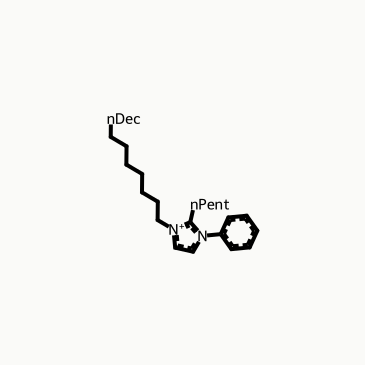 CCCCCCCCCCCCCCCCC[n+]1ccn(-c2ccccc2)c1CCCCC